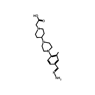 Cc1cc(C=NN)ccc1N1CCN(C2CCN(CC(=O)O)CC2)CC1